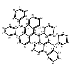 c1ccc(N(c2ccccc2)c2c3ccccc3c(-c3c4ccccc4c(N(c4ccccc4)c4ccccc4)c4ccccc34)c3ccccc23)cc1